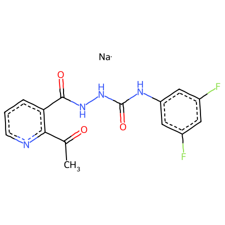 CC(=O)c1ncccc1C(=O)NNC(=O)Nc1cc(F)cc(F)c1.[Na]